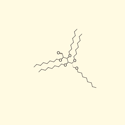 CCCCCCCCOC[C@@H](OCCCCCCCC)[C@@H](OCCCCCCCC)[C@H](OCCCCCCCC)[C@H](C=O)OCCCCCCCC